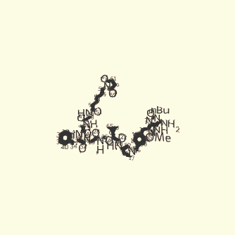 CCCCOc1nc(N)c2[nH]nc(Cc3ccc(CN4CC[C@@H](NC(=O)[C@H](OCNC(=O)CNC(=O)[C@H](Cc5ccccc5)NC(=O)CNC(=O)CNC(=O)CCCCCN5C(=O)C=CC5=O)C5CC5)C4)cc3OC)c2n1